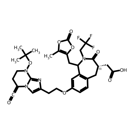 Cc1oc(=O)oc1CC1c2cc(OCCc3cn4c(n3)N(OC(C)(C)C)CCC4=C=O)ccc2C[C@@H](CC(=O)O)C(=O)N1CC(F)(F)F